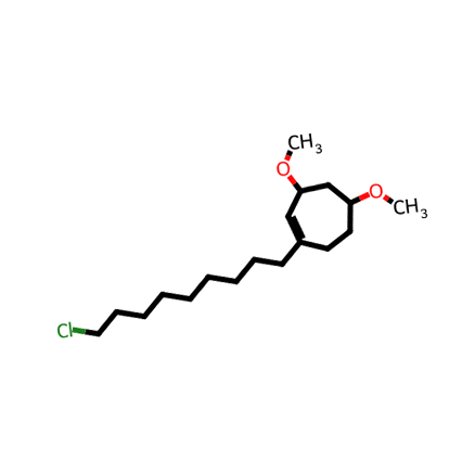 COC1C=C(CCCCCCCCCCl)CCC(OC)C1